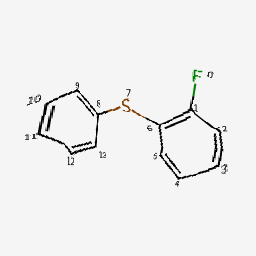 Fc1[c]cccc1Sc1ccccc1